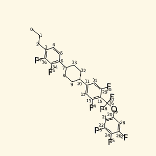 CCCc1ccc(C2CCC(c3cc(F)c(C(F)(F)Oc4cc(F)c(F)c(F)c4)c(F)c3)CC2)c(F)c1F